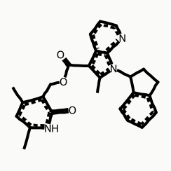 Cc1cc(C)c(COC(=O)c2c(C)n(C3CCc4ccccc43)c3ncccc23)c(=O)[nH]1